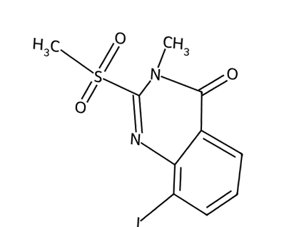 Cn1c(S(C)(=O)=O)nc2c(I)cccc2c1=O